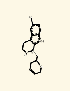 Clc1ccc2[nH]c3c(c2c1)CCN[C@H]3CC1CC=CCO1